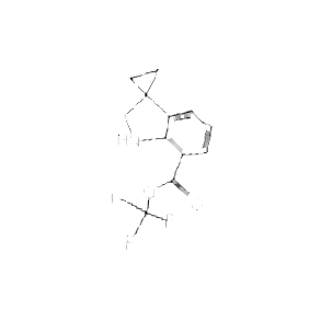 O=C(OC(F)(F)F)c1cccc2c1NCC21CC1